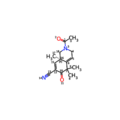 CC(=O)N1CC=C2C(C)(C)C(=O)C(C#N)=C[C@@]2(C)C1